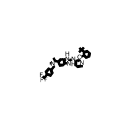 CC(c1ccc2nc(Nc3cccnc3Oc3ccccc3C(C)(C)C)[nH]c2c1)N(C)Cc1ccc(C(F)(F)F)cc1